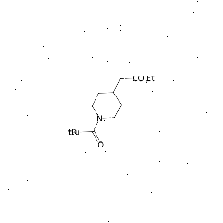 CCOC(=O)CC1CCN(C(=O)C(C)(C)C)CC1